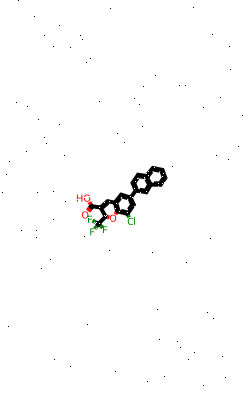 O=C(O)C1=Cc2cc(-c3ccc4ccccc4c3)cc(Cl)c2OC1C(F)(F)F